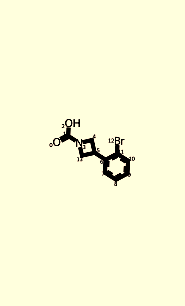 O=C(O)N1CC(c2ccccc2Br)C1